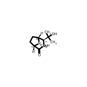 CC(C)(O)[C@H]1NC(=O)[C@@H]2CC[C@H]1N2C(=O)O